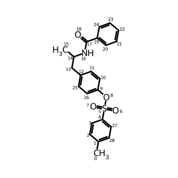 Cc1ccc(S(=O)(=O)Oc2ccc(CC(C)NC(=O)c3ccccc3)cc2)cc1